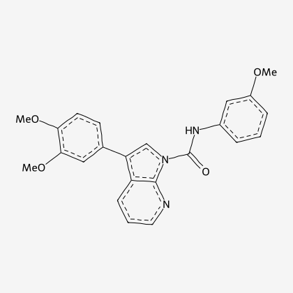 COc1cccc(NC(=O)n2cc(-c3ccc(OC)c(OC)c3)c3cccnc32)c1